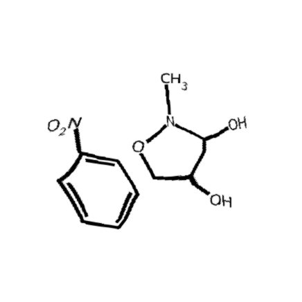 CN1OCC(O)C1O.O=[N+]([O-])c1ccccc1